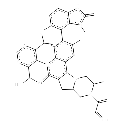 C=CC(=O)N1CC2Cc3c(c4cc(Cl)c(-c5c(C)ccc6[nH]c(=O)n(C)c56)c(F)c4n(-c4c(C(C)C)ncnc4C(C)C)c3=O)N2CC1C